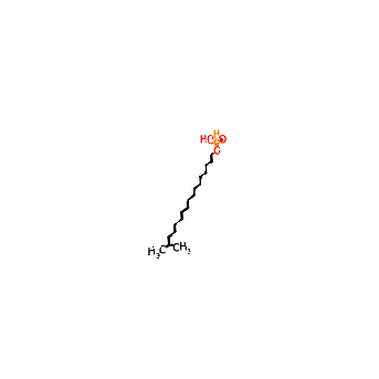 CC(C)CCCCCCCCCCCCCCCO[PH](=O)O